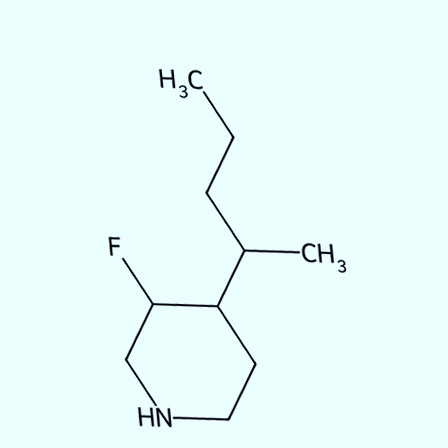 CCCC(C)C1CCNCC1F